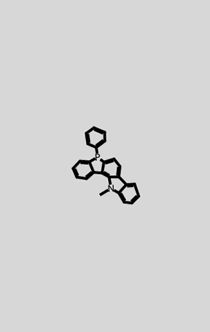 Cn1c2ccccc2c2ccc3c(c4ccccc4p3-c3ccccc3)c21